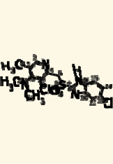 Cc1cnc(C[S+]([O-])c2nc3cc(Cl)ccc3[nH]2)c(C)c1N(C)C